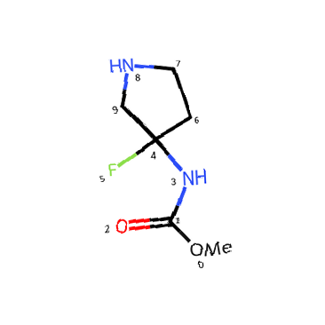 COC(=O)NC1(F)CCNC1